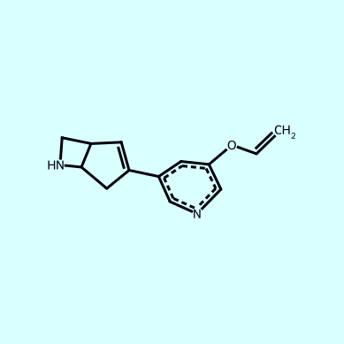 C=COc1cncc(C2=CC3CNC3C2)c1